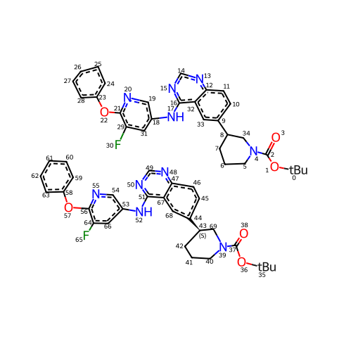 CC(C)(C)OC(=O)N1CCCC(c2ccc3ncnc(Nc4cnc(Oc5ccccc5)c(F)c4)c3c2)C1.CC(C)(C)OC(=O)N1CCC[C@@H](c2ccc3ncnc(Nc4cnc(Oc5ccccc5)c(F)c4)c3c2)C1